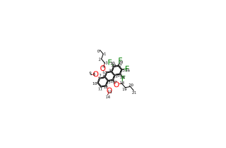 CCCCOc1c2c(OC)ccc(OC)c2c(OCCCC)c2c(F)c(F)c(F)c(F)c12